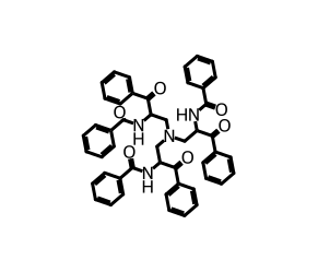 O=C(NC(CN(CC(NC(=O)c1ccccc1)C(=O)c1ccccc1)CC(NC(=O)c1ccccc1)C(=O)c1ccccc1)C(=O)c1ccccc1)c1ccccc1